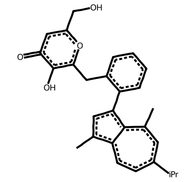 Cc1cc(-c2ccccc2Cc2oc(CO)cc(=O)c2O)c2c(C)cc(C(C)C)ccc1-2